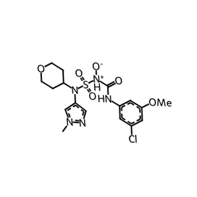 COc1cc(Cl)cc(NC(=O)[NH+]([O-])S(=O)(=O)N(c2cnn(C)c2)C2CCOCC2)c1